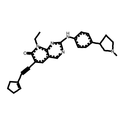 CCn1c(=O)c(C#CC2=CCCC2)cc2cnc(Nc3ccc(C4CCN(C)C4)cc3)nc21